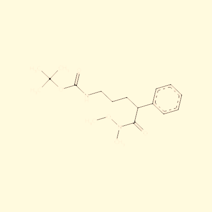 CON(C)C(=O)C(CCCNC(=O)OC(C)(C)C)c1ccccc1